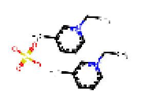 CC[n+]1cccc(C)c1.CC[n+]1cccc(C)c1.O=S(=O)([O-])[O-]